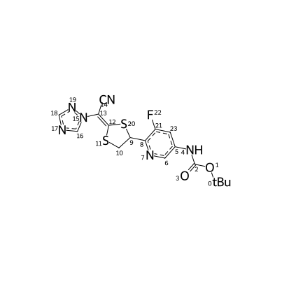 CC(C)(C)OC(=O)Nc1cnc(C2CS/C(=C(/C#N)n3cncn3)S2)c(F)c1